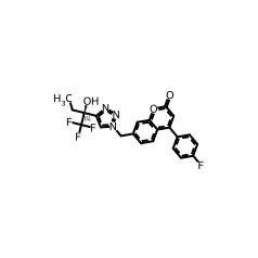 CC[C@](O)(c1cn(Cc2ccc3c(-c4ccc(F)cc4)cc(=O)oc3c2)nn1)C(F)(F)F